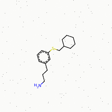 NCCCc1cccc(SCC2CCCCC2)c1